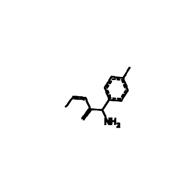 C=C(/C=C\C)C(N)c1ccc(C)cc1